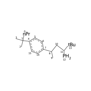 CCCC(C)(C)c1ccc(C(C)CC(P)C(C)(C)C)cc1